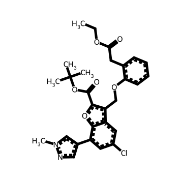 CCOC(=O)Cc1ccccc1OCc1c(C(=O)OC(C)(C)C)oc2c(-c3cnn(C)c3)cc(Cl)cc12